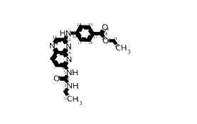 CCNC(=O)Nc1ccc2ncc(Nc3ccc(C(=O)OCC)cc3)nc2n1